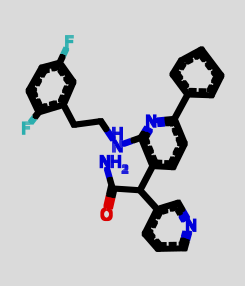 NC(=O)C(c1cccnc1)c1ccc(-c2ccccc2)nc1NCCc1cc(F)ccc1F